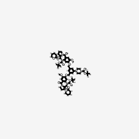 COc1cc2c(cc1OCc1cc(COc3cc4c(cc3OC)C(=O)N3CCC[C@H]3[C@H](OC3CCCCO3)N4C(=O)OC(C)(C)C)cc(N3CCN(C(=O)OC(C)(C)C)CC3)c1)N(C(=O)OC(C)(C)C)[C@@H](OC1CCCCO1)[C@@H]1CCCN1C2=O